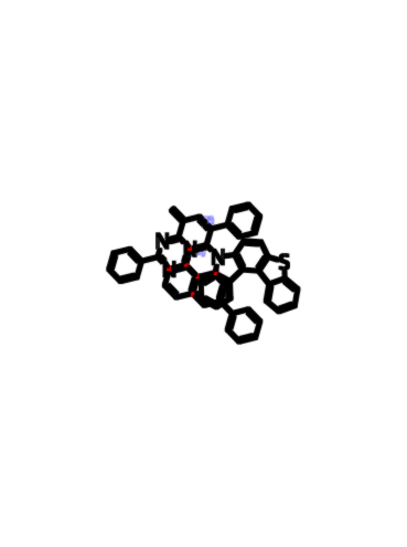 C=C(/C=C(\C(=C\c1ccccc1)n1c2ccccc2c2c3c(ccc21)sc1ccccc13)c1ccccc1)c1nc(-c2ccccc2)nc(-c2ccc(-c3ccccc3)cc2)n1